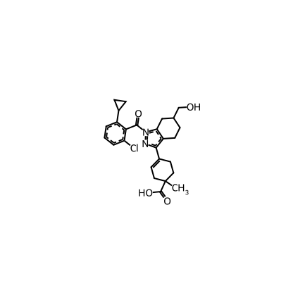 CC1(C(=O)O)CC=C(c2nn(C(=O)c3c(Cl)cccc3C3CC3)c3c2CCC(CO)C3)CC1